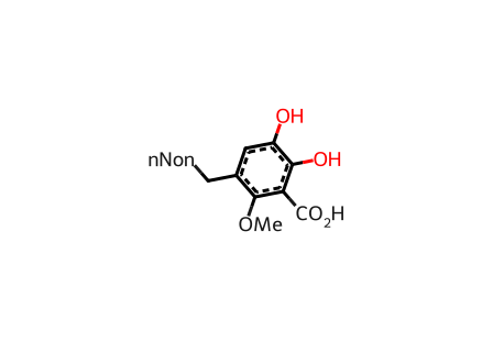 CCCCCCCCCCc1cc(O)c(O)c(C(=O)O)c1OC